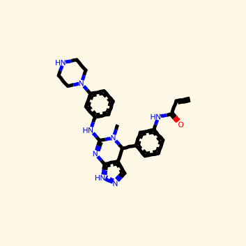 C=CC(=O)Nc1cccc(C2c3cn[nH]c3N=C(Nc3cccc(N4CCNCC4)c3)N2C)c1